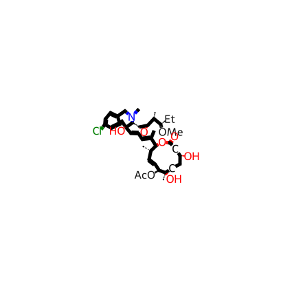 CC[C@H](OC)[C@@H](C)[C@H]1O[C@@H]1C(N(C)Cc1ccc(Cl)cc1)C(C)(O)/C=C/C=C(\C)C1OC(=O)C[C@H](O)CC[C@@](C)(O)[C@@H](OC(C)=O)/C=C/[C@@H]1C